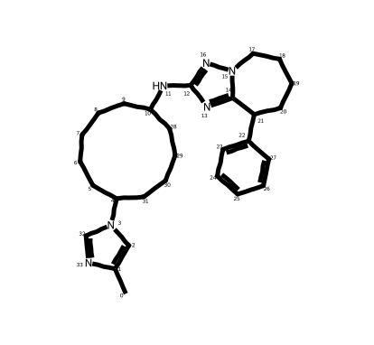 Cc1cn(C2CCCCCC(Nc3nc4n(n3)CCCCC4c3ccccc3)CCCC2)cn1